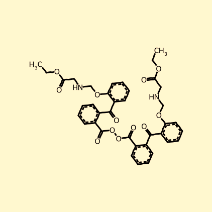 CCOC(=O)CNCOc1ccccc1C(=O)c1ccccc1C(=O)OOC(=O)c1ccccc1C(=O)c1ccccc1OCNCC(=O)OCC